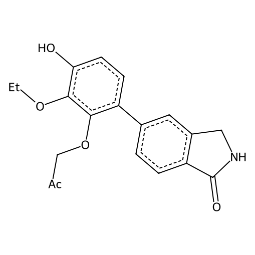 CCOc1c(O)ccc(-c2ccc3c(c2)CNC3=O)c1OCC(C)=O